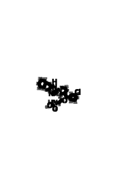 COC(=O)NCCOC(c1cccc(Cl)c1)C1CCCN(C(=O)NC(CC2CCCCC2)C(C)N)C1